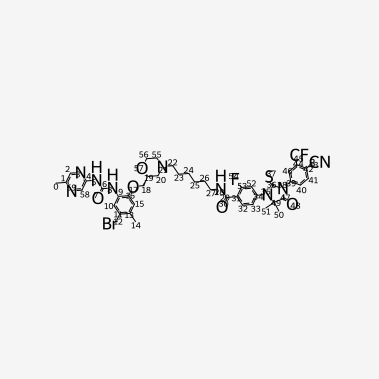 Cc1cnc(NC(=O)Nc2cc(Br)c(C)cc2OC[C@@H]2CN(CCCCCCNC(=O)c3ccc(N4C(=S)N(c5ccc(C#N)c(C(F)(F)F)c5)C(=O)C4(C)C)cc3F)CCO2)cn1